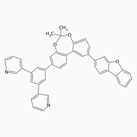 CC1(C)Oc2cc(-c3cc(-c4cccnc4)cc(-c4cccnc4)c3)ccc2-c2cc(-c3ccc4c(c3)oc3ccccc34)ccc2O1